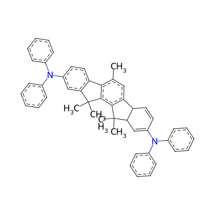 Cc1cc2c(c3c1-c1ccc(N(c4ccccc4)c4ccccc4)cc1C3(C)C)C(C)(C)C1C=C(N(c3ccccc3)c3ccccc3)C=CC21